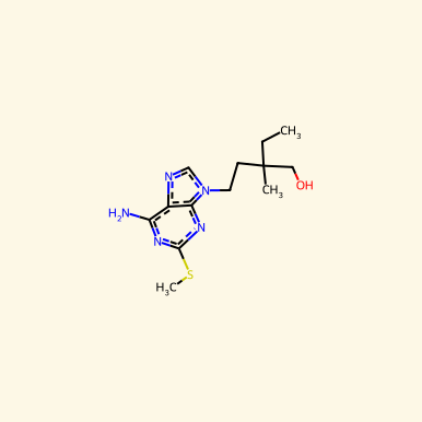 CCC(C)(CO)CCn1cnc2c(N)nc(SC)nc21